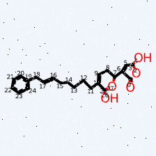 O=C1OC(O)C=C1C1CC=C(CCCCCC=CCc2ccccc2)C(O)O1